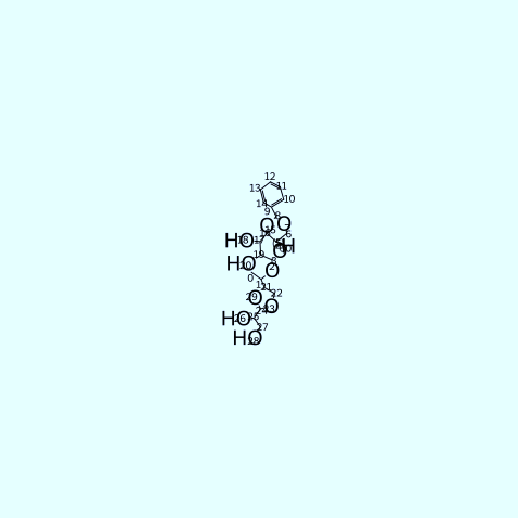 CC(OC1O[C@H]2COC(c3ccccc3)OC2C(O)C1O)C1COC(C(O)CO)O1